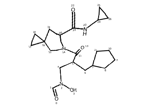 O=CN(O)CC(CC1CCCC1)C(=O)N1CC2(CC2)CC1C(=O)NC1CC1